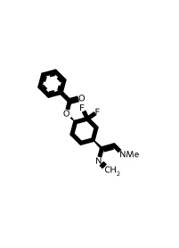 C=N/C(=C\NC)[C@H]1CC[C@H](OC(=O)c2ccccc2)C(F)(F)C1